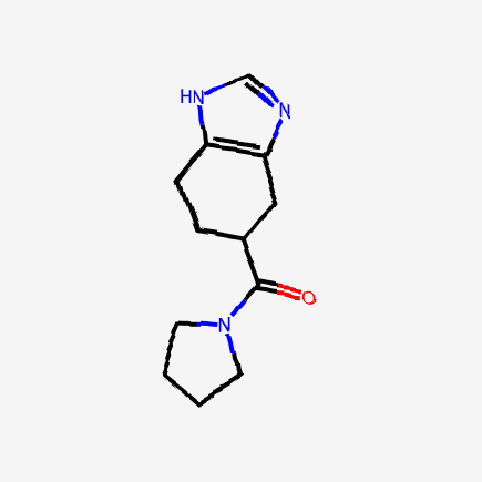 O=C(C1CCc2[nH]cnc2C1)N1CCCC1